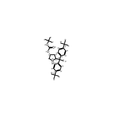 CC(C)(C)OC(=O)O[C@H]1CNC(C(F)(c2ccc(C(C)(C)C)cc2)c2ccc(C(C)(C)C)cc2)C1